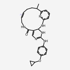 CC1CC/C=C\CNC(=O)C2=CN=C(Nc3ccc(OC4CC4)cc3)NC2Nc2cccc1n2